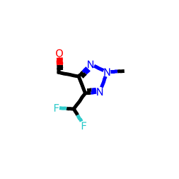 Cn1nc(C=O)c(C(F)F)n1